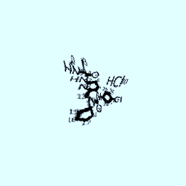 CN[C@@H](C)C(=O)Nc1ccc2c(n1)CN(C1CCCC1)C(=O)N2c1ccc(Cl)cc1.Cl